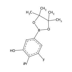 CC(C)c1c(O)cc(B2OC(C)(C)C(C)(C)O2)cc1F